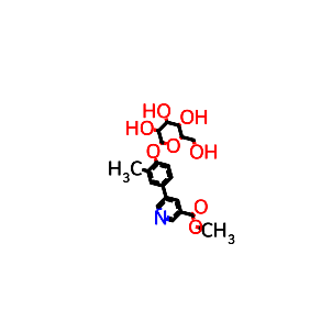 COC(=O)c1cncc(-c2ccc(OC3OC(CO)C(O)C(O)C3O)c(C)c2)c1